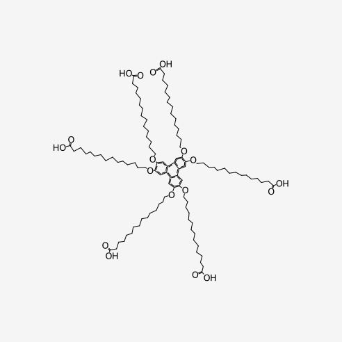 O=C(O)CCCCCCCCCCCCCCOc1cc2c3cc(OCCCCCCCCCCCCCCC(=O)O)c(OCCCCCCCCCCCCCCC(=O)O)cc3c3cc(OCCCCCCCCCCCCCCC(=O)O)c(OCCCCCCCCCCCCCCC(=O)O)cc3c2cc1OCCCCCCCCCCCCCCC(=O)O